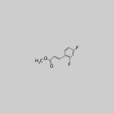 COC(=O)C=Cc1ccc(F)cc1F